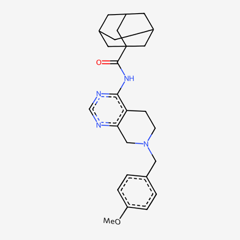 COc1ccc(CN2CCc3c(ncnc3NC(=O)C34CC5CC(CC(C5)C3)C4)C2)cc1